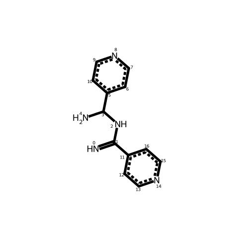 N=C(NC(N)c1ccncc1)c1ccncc1